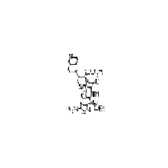 CCON=C(C(=O)NC1C(=O)N2C(C(=O)O)=C(S/C=C\c3cccnc3)CS[C@@H]12)c1nsc(N)n1